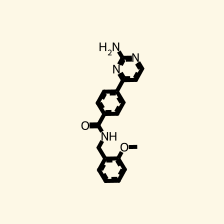 COc1ccccc1CNC(=O)c1ccc(-c2ccnc(N)n2)cc1